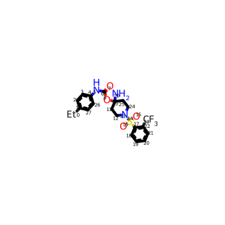 CCc1ccc(NC(=O)OC2(N)CCN(S(=O)(=O)c3ccccc3C(F)(F)F)CC2)cc1